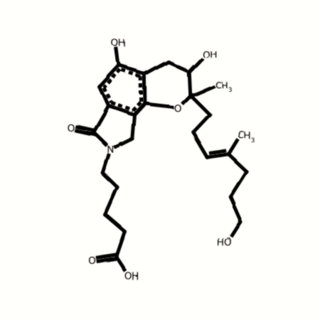 C/C(=C\CCC1(C)Oc2c(c(O)cc3c2CN(CCCCC(=O)O)C3=O)CC1O)CCCO